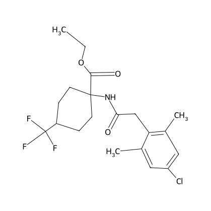 CCOC(=O)C1(NC(=O)Cc2c(C)cc(Cl)cc2C)CCC(C(F)(F)F)CC1